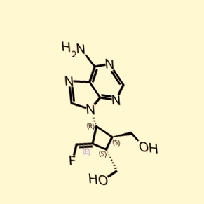 Nc1ncnc2c1ncn2[C@H]1/C(=C/F)[C@@H](CO)[C@@H]1CO